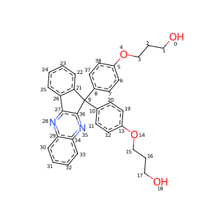 OCCCOc1ccc(C2(c3ccc(OCCCO)cc3)c3ccccc3-c3nc4ccccc4nc32)cc1